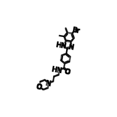 Cc1c(Br)cc2nc(-c3ccc(C(=O)NCCCN4CCOCC4)cc3)[nH]c2c1C